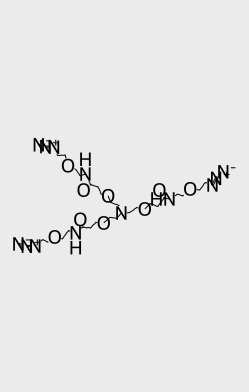 [N-]=[N+]=NCCOCCNC(=O)CCOCCN(CCOCCC(=O)NCCOCCN=[N+]=[N-])CCOCCC(=O)NCCOCCN=[N+]=[N-]